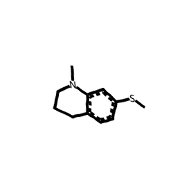 CSc1ccc2c(c1)N(C)CCC2